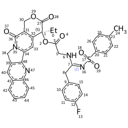 CC[C@@]1(OC(=O)CN/C(Cc2ccc(F)cc2)=N\S(=O)(=O)c2ccc(C)cc2)C(=O)OCc2c1cc1n(c2=O)Cc2cc3ccccc3nc2-1